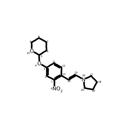 O=[N+]([O-])c1cc(OC2CCCCO2)ccc1C=CN1CCCC1